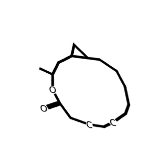 CC1CC2CC2CCCCCCCCCC(=O)O1